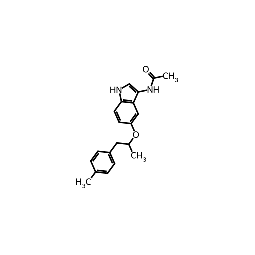 CC(=O)Nc1c[nH]c2ccc(OC(C)Cc3ccc(C)cc3)cc12